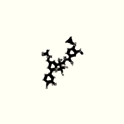 COc1cc(C(=O)NCC(O)(c2cc(CNC(C)=O)cc(-c3ccc(F)c(Cl)c3)n2)C(F)(F)F)ccc1OC1CC1